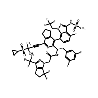 CC(C)(C#Cc1nc([C@H](Cc2cc(F)cc(F)c2)NC(=O)Cn2nc(C(F)(F)F)c3c2C(F)(F)CC3)c(-c2ccc(Cl)c3c(NS(C)(=O)=O)nn(CC(F)(F)F)c23)c2c1CCC2)S(=O)(=O)C1CC1